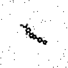 CC(C)(C)OC(=O)N1CCN(c2ncc3nc(-c4ccc(N5CCCC5)nc4)sc3n2)C(=O)C1